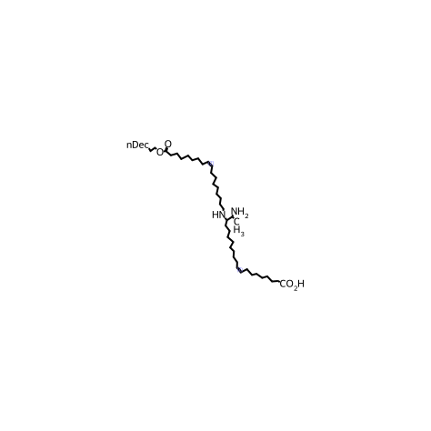 CCCCCCCCCCCCOC(=O)CCCCCCC/C=C\CCCCCCCCNC(CCCCCCCC/C=C\CCCCCCCC(=O)O)C(C)N